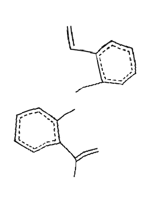 C=C(C)c1ccccc1C.C=Cc1ccccc1C